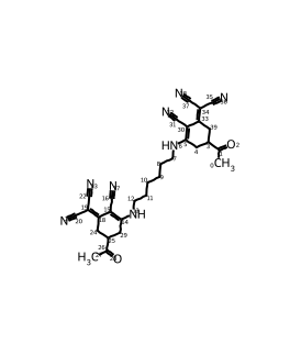 CC(=O)C1CC(NCCCCCCNC2=C(C#N)C(=C(C#N)C#N)CC(C(C)=O)C2)=C(C#N)C(=C(C#N)C#N)C1